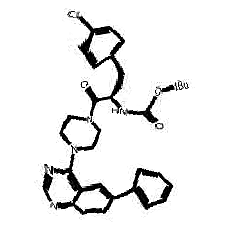 CC(C)(C)OC(=O)NC(Cc1ccc(Cl)cc1)C(=O)N1CCN(c2ncnc3ccc(-c4ccccc4)cc23)CC1